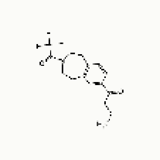 CCCC(=O)c1ccc2c(c1)CCN(C(=O)C(F)(F)F)CC2